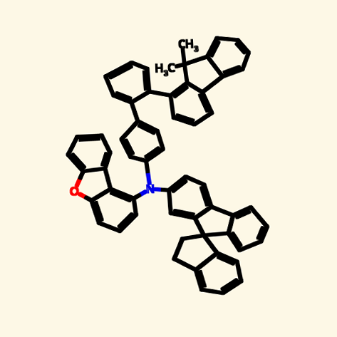 CC1(C)c2ccccc2-c2cccc(-c3ccccc3-c3ccc(N(c4ccc5c(c4)C4(CCc6ccccc64)c4ccccc4-5)c4cccc5oc6ccccc6c45)cc3)c21